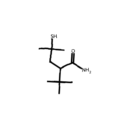 CC(C)(S)CC(C(N)=O)C(C)(C)C